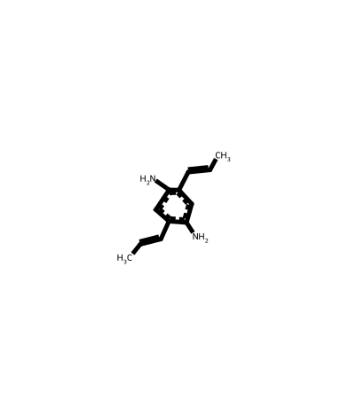 CC=Cc1cc(N)c(C=CC)cc1N